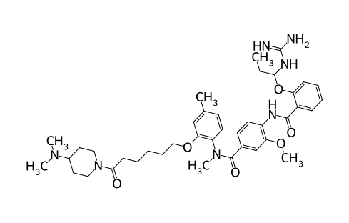 CCC(NC(=N)N)Oc1ccccc1C(=O)Nc1ccc(C(=O)N(C)c2ccc(C)cc2OCCCCCC(=O)N2CCC(N(C)C)CC2)cc1OC